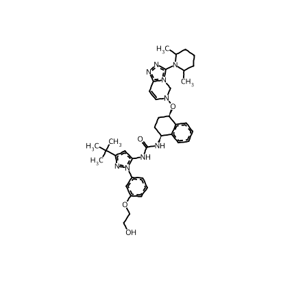 CC1CCCC(C)N1c1nnc2n1CN(O[C@@H]1CC[C@H](NC(=O)Nc3cc(C(C)(C)C)nn3-c3cccc(OCCO)c3)c3ccccc31)C=C2